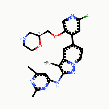 Cc1cc(Nc2nn3ccc(-c4cc(Cl)ncc4OC[C@@H]4CNCCO4)cc3c2C(C)(C)C)nc(C)n1